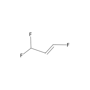 FC=CC(F)F